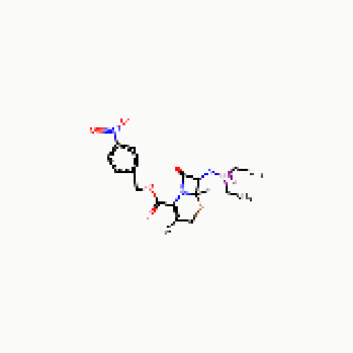 CC[PH2](CC)N[C@@H]1C(=O)N2C(C(=O)OCc3ccc([N+](=O)[O-])cc3)=C(C)CS[C@@H]12